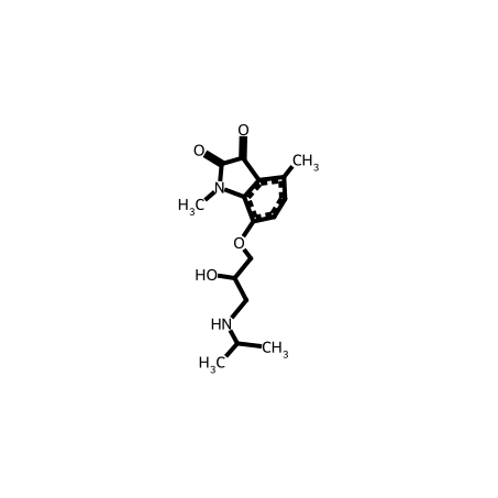 Cc1ccc(OCC(O)CNC(C)C)c2c1C(=O)C(=O)N2C